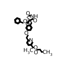 CCCC(=O)OC(C)c1ccc(CCOc2ccc(C[C@@]3(C(=O)OCc4ccccc4)SC(=O)NC3=O)cc2)nc1